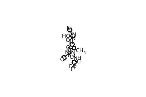 CC1CC2(CCN(C(=O)c3ncnc(-c4ccncc4)c3O)CC2)c2c1n(CC(=O)Nc1ccc(C(F)(F)F)cc1Cl)c1nc(C3=CCOCC3)nn1c2=O